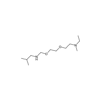 CCN(C)CCOCCOCNCC(C)C